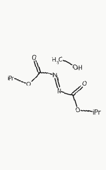 CC(C)OC(=O)N=NC(=O)OC(C)C.CO